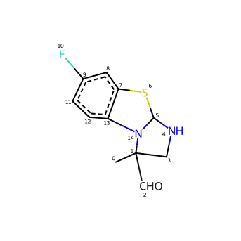 CC1(C=O)CNC2Sc3cc(F)ccc3N21